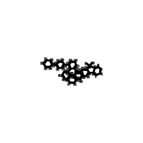 CC1(C)c2ccccc2-c2ccc(N(c3ccccc3)c3cccc(-c4ccc(-c5ccccc5)cc4)c3-c3ccccc3-c3ccccc3)cc21